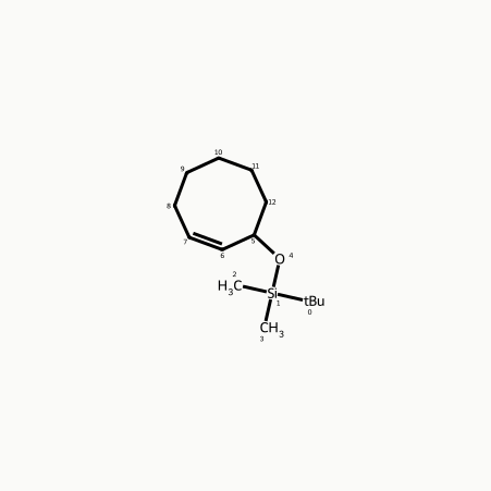 CC(C)(C)[Si](C)(C)OC1/C=C\CCCCC1